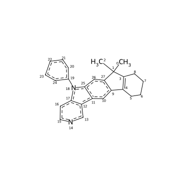 CC1(C)C2=C(CCCC2)c2cc3c4cnccc4n(-c4ccccc4)c3cc21